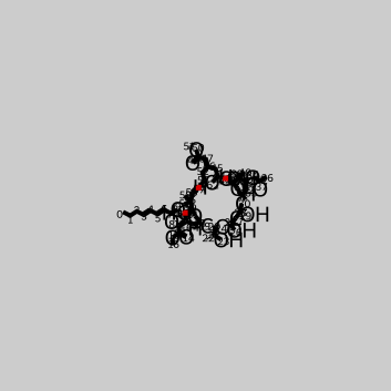 CCC/C=C/C=C/C(=O)O[C@H]1/C(=C/C(=O)OC)C[C@H]2C[C@H]([C@@H](C)O)OC(O)C[C@H](O)C[C@@H]3C[C@H](OC(C)=O)C(C)(C)[C@](O)(C[C@@H]4C/C(=C/C(=O)OC)C[C@H](/C=C/C(C)(C)[C@]1(O)O2)O4)O3